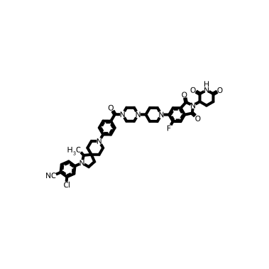 CC1N(c2ccc(C#N)c(Cl)c2)CCC12CCN(c1ccc(C(=O)N3CCN(C4CCN(c5cc6c(cc5F)C(=O)N(C5CCC(=O)NC5=O)C6=O)CC4)CC3)cc1)CC2